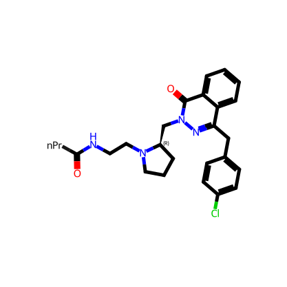 CCCC(=O)NCCN1CCC[C@@H]1Cn1nc(Cc2ccc(Cl)cc2)c2ccccc2c1=O